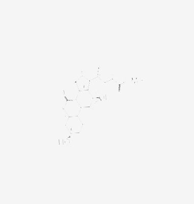 COC(=O)CCC(C)C1CCC2C3C(=O)CC4C[C@H](O)CC[C@]4(C)C3C[C@H](O)[C@]12C